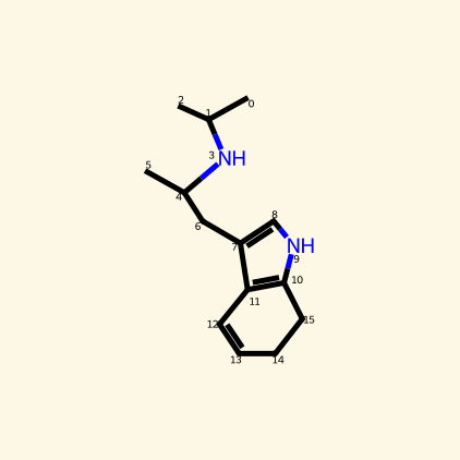 CC(C)NC(C)Cc1c[nH]c2c1C=CCC2